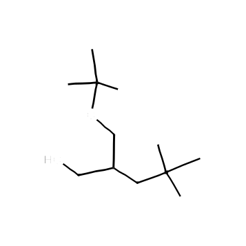 CC(C)(C)CC(CO)COC(C)(C)C